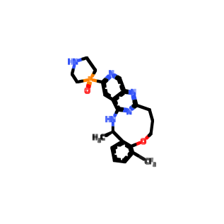 C[C@H]1Nc2nc(nc3cnc(P4(=O)CCNCC4)cc23)CCCOc2c1cccc2C(F)(F)F